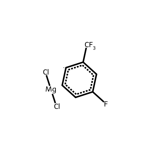 Fc1cc[c]c(C(F)(F)F)c1.[Cl][Mg][Cl]